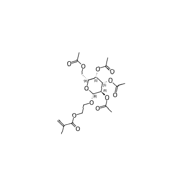 C=C(C)C(=O)OCCO[C@@H]1O[C@H](COC(C)=O)[C@H](OC(C)=O)[C@H](OC(C)=O)[C@H]1OC(C)=O